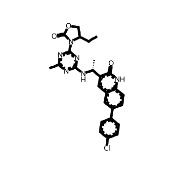 CCC1COC(=O)N1c1nc(C)nc(N[C@H](C)c2cc3cc(-c4ccc(Cl)cc4)ccc3[nH]c2=O)n1